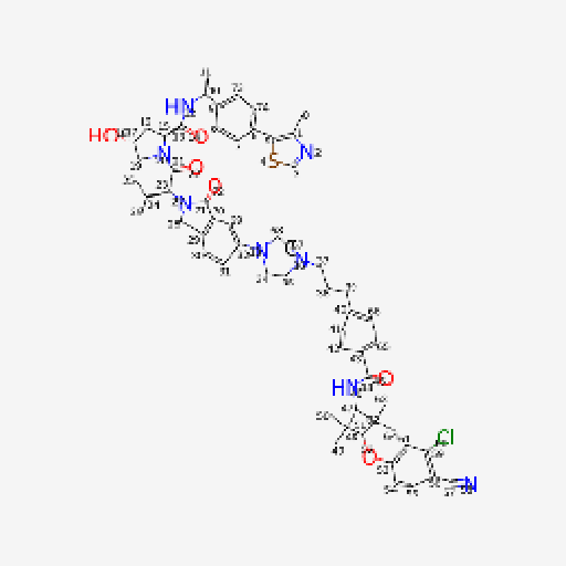 Cc1ncsc1-c1ccc([C@H](C)NC(=O)[C@@H]2C[C@@H](O)CN2C(=O)[C@H](C(C)C)N2Cc3ccc(N4CCN(CCCc5ccc(C(=O)NC6C(C)(C)C(Oc7ccc(C#N)c(Cl)c7)C6(C)C)cc5)CC4)cc3C2=O)cc1